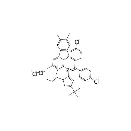 CCCC1C=C(C(C)(C)C)C=[C]1[Zr+2](=[C](c1ccc(Cl)cc1)c1ccc(Cl)cc1)[c]1c(C)c(C)cc2c1Cc1cc(C)c(C)cc1-2.[Cl-].[Cl-]